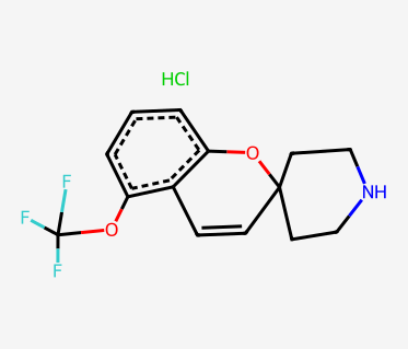 Cl.FC(F)(F)Oc1cccc2c1C=CC1(CCNCC1)O2